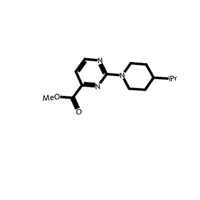 COC(=O)c1ccnc(N2CCC(C(C)C)CC2)n1